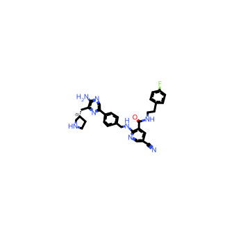 N#Cc1cnc(NCc2ccc(-c3cnc(N)c(C[C@@H]4CCNC4)n3)cc2)c(C(=O)NCCc2ccc(F)cc2)c1